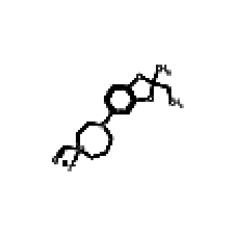 CCC1(C)Oc2ccc(N3CCC[N+](C)(C=O)CC3)cc2O1